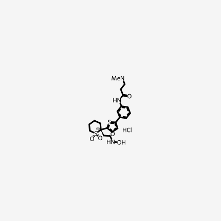 CNCCC(=O)Nc1cccc(-c2ccc([C@@]3(CC(=O)NO)CCCCS3(=O)=O)s2)c1.Cl